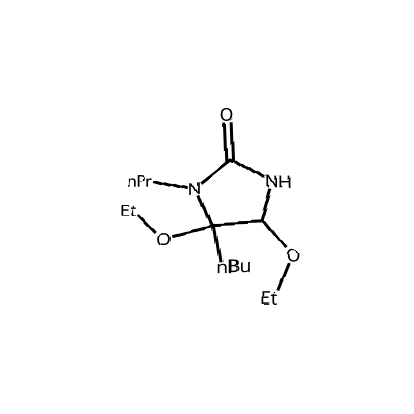 CCCCC1(OCC)C(OCC)NC(=O)N1CCC